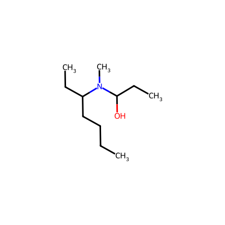 CCCCC(CC)N(C)C(O)CC